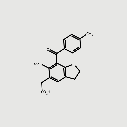 COc1c(CC(=O)O)cc2c(c1C(=O)c1ccc(C)cc1)OCC2